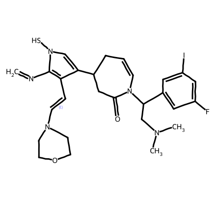 C=Nc1c(/C=C/N2CCOCC2)c(C2CC=CN(C(CN(C)C)c3cc(F)cc(I)c3)C(=O)C2)cn1S